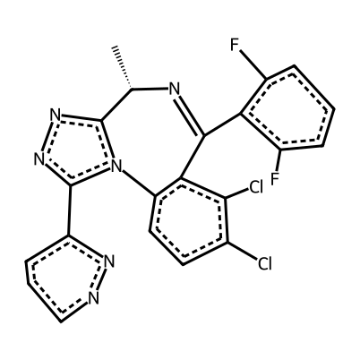 C[C@@H]1N=C(c2c(F)cccc2F)c2c(ccc(Cl)c2Cl)-n2c(-c3cccnn3)nnc21